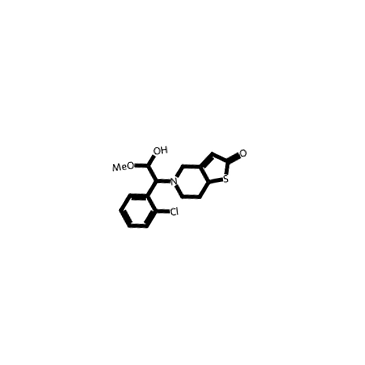 COC(O)C(c1ccccc1Cl)N1CCC2SC(=O)C=C2C1